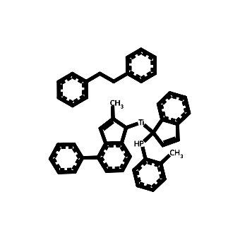 CC1=Cc2c(-c3ccccc3)cccc2[CH]1[Ti][C]1(Pc2ccccc2C)C=Cc2ccccc21.c1ccc(CCc2ccccc2)cc1